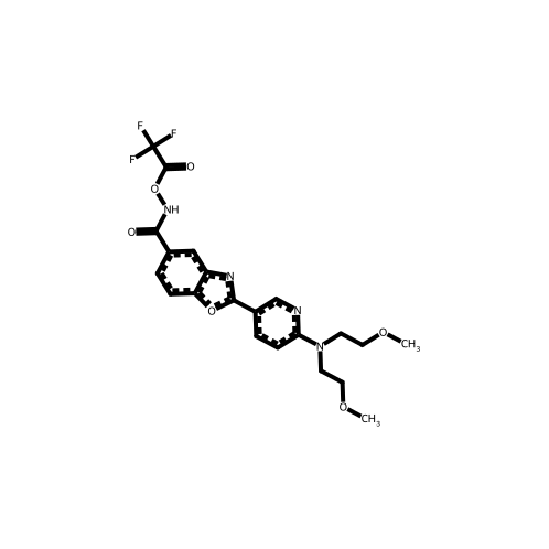 COCCN(CCOC)c1ccc(-c2nc3cc(C(=O)NOC(=O)C(F)(F)F)ccc3o2)cn1